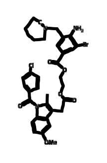 COc1ccc2c(c1)c(CC(=O)OCCOC(=O)c1cc(Br)c(N)c(CN3CCCCCC3)c1)c(C)n2C(=O)c1ccc(Cl)cc1